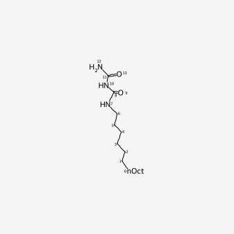 CCCCCCCCCCCCCCNC(=O)NC(N)=O